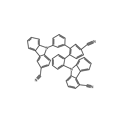 N#Cc1ccc(-c2ccccc2-n2c3ccccc3c3c(C#N)cccc32)c(-c2cccc(-n3c4ccccc4c4cc(C#N)ccc43)c2)c1